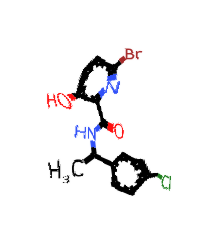 CC(NC(=O)c1nc(Br)ccc1O)c1ccc(Cl)cc1